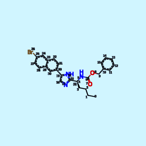 CCCC[C@H](NC(=O)OCc1ccccc1)c1ncc(-c2ccc3cc(Br)ccc3c2)[nH]1